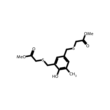 COC(=O)CSCc1cc(C)c(O)c(CSCC(=O)OC)c1